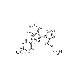 O=C(O)CSc1nncn1-c1sc(-c2ccc(Cl)cc2)c2c1CCCC2